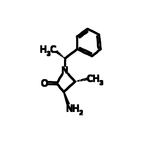 C[C@H](c1ccccc1)N1C(=O)[C@H](N)[C@H]1C